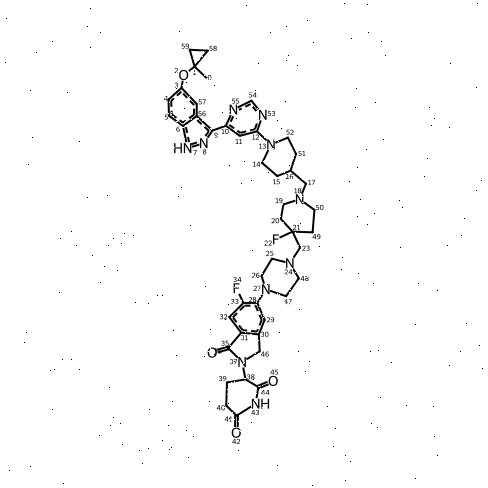 CC1(Oc2ccc3[nH]nc(-c4cc(N5CCC(CN6CCC(F)(CN7CCN(c8cc9c(cc8F)C(=O)N(C8CCC(=O)NC8=O)C9)CC7)CC6)CC5)ncn4)c3c2)CC1